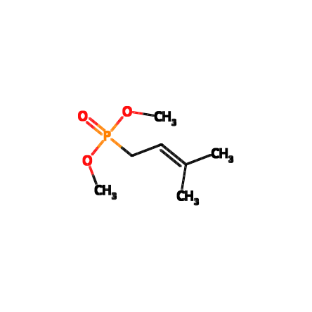 COP(=O)(CC=C(C)C)OC